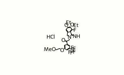 CCOc1cc2c(c(F)c1OCC)C(=N)N(CC(=O)c1cc(OCCOC)cc(S(F)(F)(F)(F)F)c1)C2.Cl